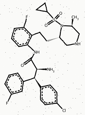 C[C@H]1CNC[C@H](CCc2c(F)cccc2NC(=O)[C@@H](N)[C@@H](c2ccc(Cl)cc2)c2cccc(F)c2)N1S(=O)(=O)C1CC1